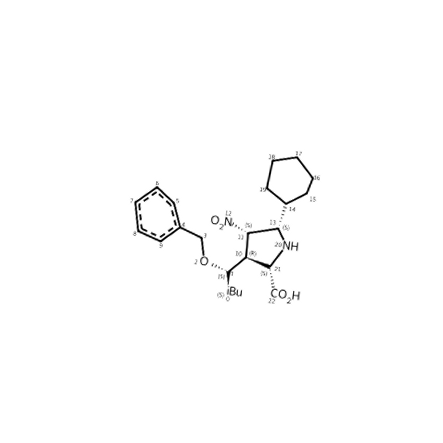 CC[C@H](C)[C@H](OCc1ccccc1)[C@H]1[C@H]([N+](=O)[O-])[C@H](C2CCCCC2)N[C@@H]1C(=O)O